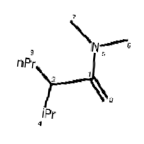 C=C(C(CCC)C(C)C)N(C)C